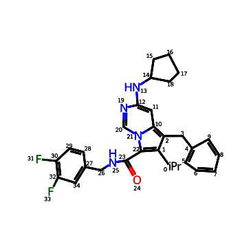 CC(C)c1c(Cc2ccccc2)c2cc(NC3CCCC3)ncn2c1C(=O)NCc1ccc(F)c(F)c1